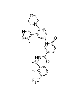 C[C@@H](NC(=O)c1ccc(=O)n(-c2cnc(N3CCOCC3)c(-c3cnnn3C)c2)n1)c1cccc(C(F)(F)F)c1F